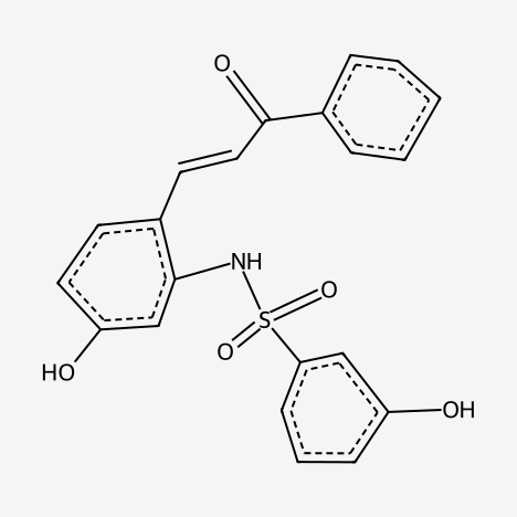 O=C(C=Cc1ccc(O)cc1NS(=O)(=O)c1cccc(O)c1)c1ccccc1